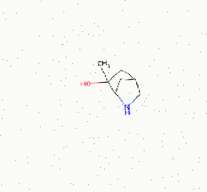 CC1(O)CC2CNC1C2